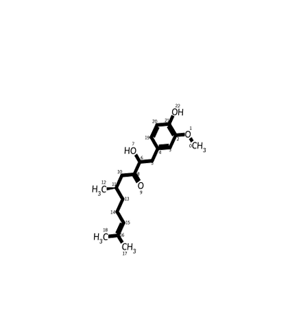 COc1cc(CC(O)C(=O)C[C@H](C)CCC=C(C)C)ccc1O